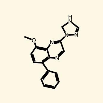 COc1ccc(-c2ccccc2)c2ncc(N3CNC=N3)nc12